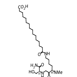 CN[C@H](CCCCNC(=O)CCCCCCCCCCCCCCC(=O)O)C(=O)CN[C@@H](CO)C(N)=O